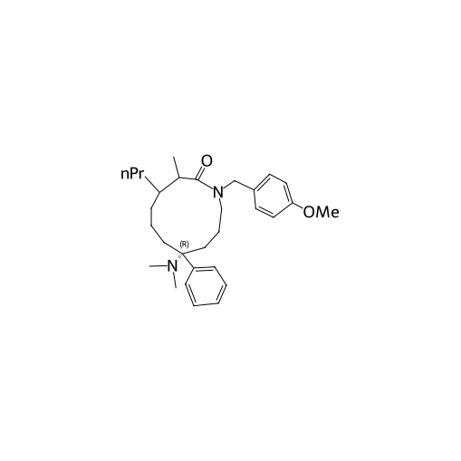 CCCC1CCC[C@@](c2ccccc2)(N(C)C)CCCN(Cc2ccc(OC)cc2)C(=O)C1C